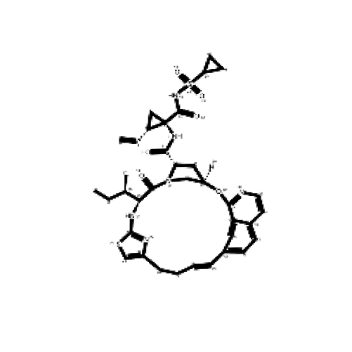 C=C[C@@H]1C[C@]1(NC(=O)[C@@H]1C[C@@H]2CN1C(=O)[C@H]([C@H](C)CC)Nc1nc(cs1)CC/C=C/c1ccc3ccnc(c3c1)O2)C(=O)NS(=O)(=O)C1CC1